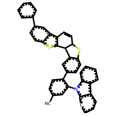 N#Cc1ccc(-c2ccc3c(c2)C2c4sc5ccc(-c6ccccc6)cc5c4C=CC2S3)c(-n2c3ccccc3c3ccccc32)c1